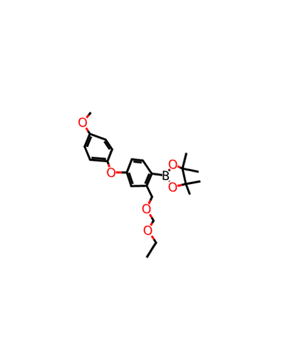 CCOCOCc1cc(Oc2ccc(OC)cc2)ccc1B1OC(C)(C)C(C)(C)O1